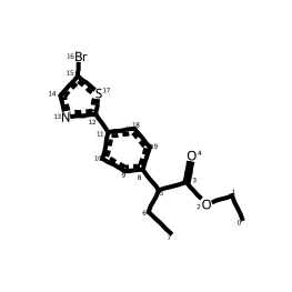 CCOC(=O)C(CC)c1ccc(-c2ncc(Br)s2)cc1